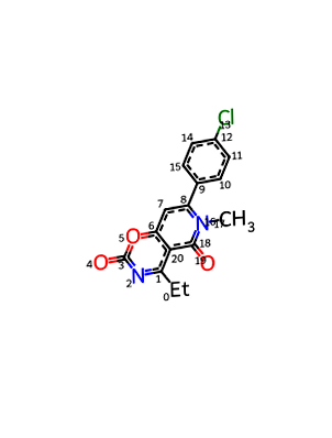 CCc1nc(=O)oc2cc(-c3ccc(Cl)cc3)n(C)c(=O)c12